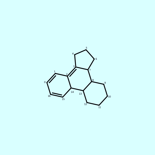 C1=CC2=C3CCCC3C3CCCCC3C2C=C1